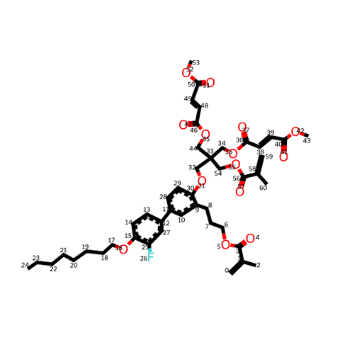 C=C(C)C(=O)OCCCc1cc(-c2ccc(OCCCCCCCC)c(F)c2)ccc1OCC(COC(=O)/C=C/C(=O)OC)(COC(=O)/C=C/C(=O)OC)COC(=O)C(=C)C